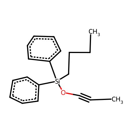 CC#CO[Si](CCCC)(c1ccccc1)c1ccccc1